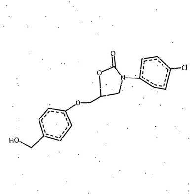 O=C1OC(COc2ccc(CO)cc2)CN1c1ccc(Cl)cc1